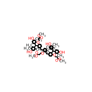 COC(=O)CCOc1ccc(Cc2cc(C)cc(Cc3ccc(OCCC(=O)OC)c(C(c4cc(C)c(O)cc4C)c4cc(C)c(O)cc4C)c3)c2OCCC(=O)OC)cc1C(c1cc(C)c(O)cc1C)c1cc(C)c(O)cc1C